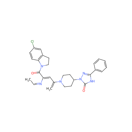 C=C(/C=C(\N=C/C)C(=O)N1CCc2cc(Cl)ccc21)N1CCC(n2nc(-c3ccccc3)[nH]c2=O)CC1